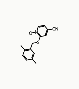 Cc1ccc(C)c(CSc2cc(C#N)cc[n+]2[O-])c1